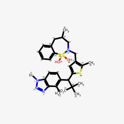 CCn1nnc2c(C)c(C(c3cc(CN4CC(C)Cc5ccccc5S4(O)O)c(C)s3)C(C)(C)C(=O)O)ccc21